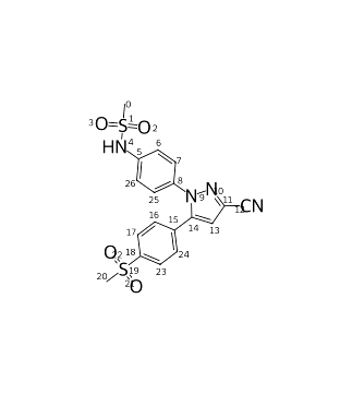 CS(=O)(=O)Nc1ccc(-n2nc(C#N)cc2-c2ccc(S(C)(=O)=O)cc2)cc1